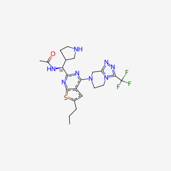 CCCc1cc2c(N3CCn4c(nnc4C(F)(F)F)C3)nc([C@@H](NC(C)=O)C3CCNC3)nc2s1